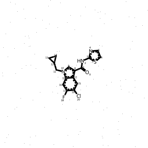 O=C(Nc1nccs1)c1cn(CC2CC2)c2cc(F)c(Cl)cc12